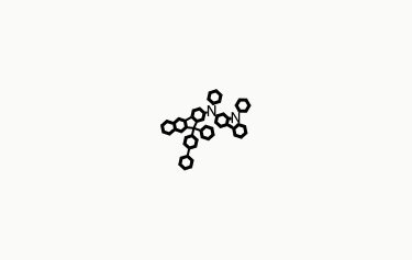 c1ccc(-c2ccc(C3(c4ccccc4)c4cc(N(c5ccccc5)c5ccc6c7ccccc7n(-c7ccccc7)c6c5)ccc4-c4cc5ccccc5cc43)cc2)cc1